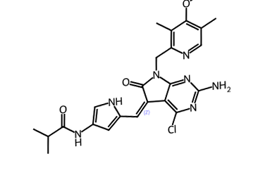 COc1c(C)cnc(CN2C(=O)/C(=C\c3cc(NC(=O)C(C)C)c[nH]3)c3c(Cl)nc(N)nc32)c1C